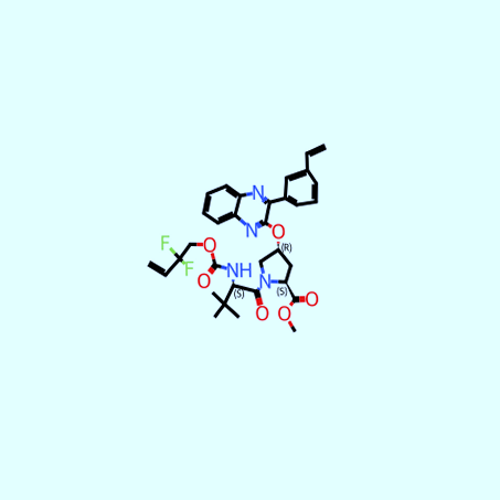 C=Cc1cccc(-c2nc3ccccc3nc2O[C@@H]2C[C@@H](C(=O)OC)N(C(=O)[C@@H](NC(=O)OCC(F)(F)C=C)C(C)(C)C)C2)c1